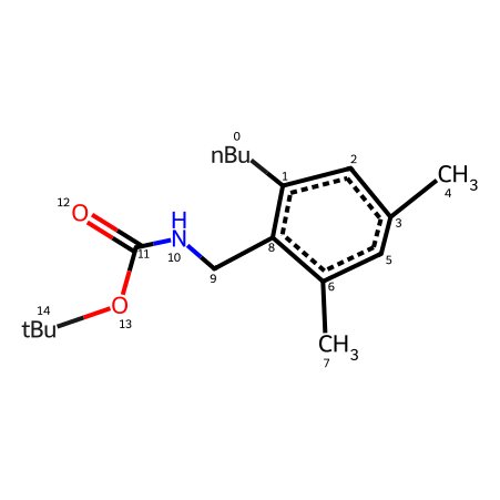 CCCCc1cc(C)cc(C)c1CNC(=O)OC(C)(C)C